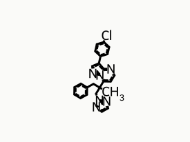 CC(Cc1ccccc1)(Cn1nccn1)c1ccnc2c(-c3ccc(Cl)cc3)cnn12